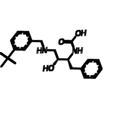 CC(C)(C)c1cccc(CNC[C@H](O)[C@H](Cc2ccccc2)NC(=O)O)c1